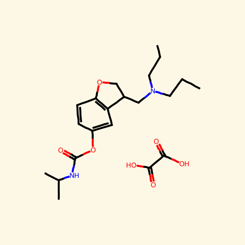 CCCN(CCC)CC1COc2ccc(OC(=O)NC(C)C)cc21.O=C(O)C(=O)O